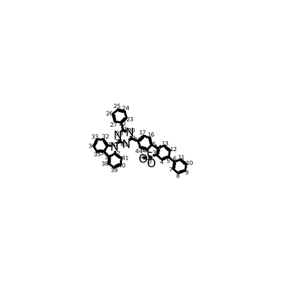 O=S1(=O)c2cc(-c3ccccc3)ccc2-c2ccc(-c3nc(-c4ccccc4)nc(-n4c5ccccc5c5ccccc54)n3)cc21